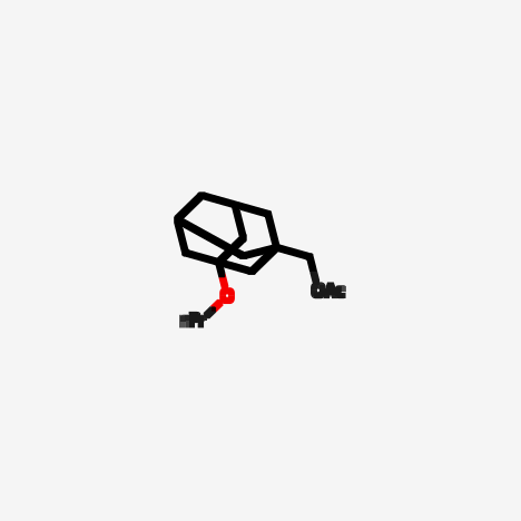 CCCOC12CC3CC(CC(COC(C)=O)(C3)C1)C2